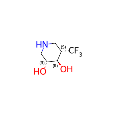 O[C@H]1[C@H](O)CNC[C@@H]1C(F)(F)F